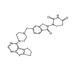 O=C1CCN(N2Cc3cc(CN4CCN(c5ncnc6sc7c(c56)CCC7)CC4)ccc3C2=O)C(=O)N1